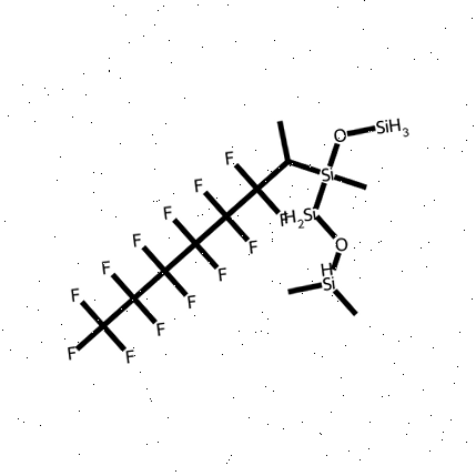 CC(C(F)(F)C(F)(F)C(F)(F)C(F)(F)C(F)(F)C(F)(F)F)[Si](C)(O[SiH3])[SiH2]O[SiH](C)C